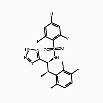 Cc1ccc(F)c([C@@H](C)[C@H](NS(=O)(=O)c2c(F)cc(Cl)cc2F)c2nn[nH]n2)c1C